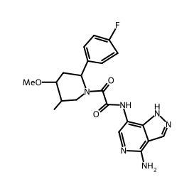 COC1CC(c2ccc(F)cc2)N(C(=O)C(=O)Nc2cnc(N)c3cn[nH]c23)CC1C